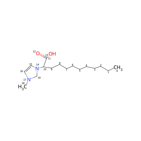 CCCCCCCCCCC(C(=O)O)N1C=CN(C)C1